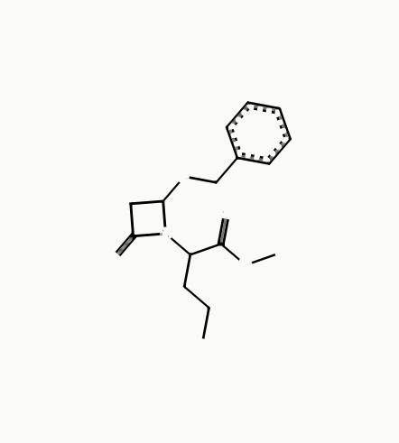 CCCC(C(=O)OC)N1C(=O)CC1SCc1ccccc1